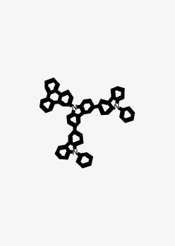 c1ccc(-n2c3ccccc3c3cc(-c4ccc5c(c4)c4cc(-c6ccc7c(c6)c6ccccc6n7-c6ccccc6)ccc4n5-c4ccc5c6ccccc6c6ccccc6c5c4)ccc32)cc1